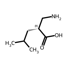 CC(C)C[C@H](CN)C(=O)O